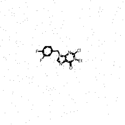 CCn1c(Cl)nc2c(ncn2Cc2ccc(F)c(F)c2)c1=O